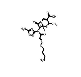 CC1S[C@@H]2C(N(C(=O)C=NOCCCN)c3nsc(N)n3)C(=O)N2C=C1C(=O)O